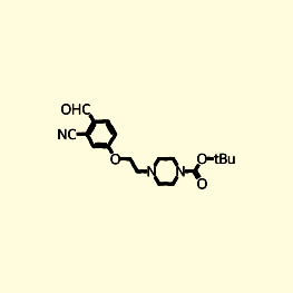 CC(C)(C)OC(=O)N1CCN(CCOc2ccc(C=O)c(C#N)c2)CC1